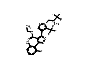 CCOC(=O)c1c(-c2c(F)cccc2Cl)noc1-c1cnn(C[C@@H](O)C(F)(F)F)c1C(F)(F)F